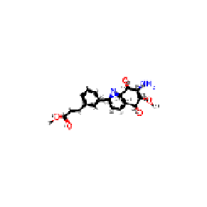 COC(=O)CCc1cccc(-c2ccc3c(n2)C(=O)C(N)=C(OC)C3=O)c1